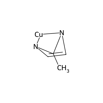 CC1[N]2C=C[N]1[Cu]2